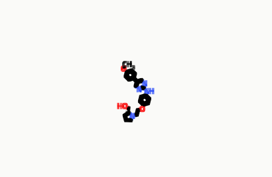 COc1ccc(-c2cnc(Nc3ccc(OCCN4CCC[C@H]4CO)cc3)nc2)cc1